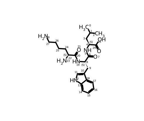 CC(C)C[C@H](NC(=O)[C@H](Cc1c[nH]c2ccccc12)NC(=O)[C@@H](N)CCCCN)C(=O)O